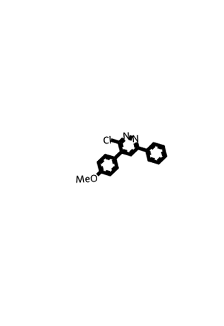 COc1ccc(-c2cc(-c3ccccc3)nnc2Cl)cc1